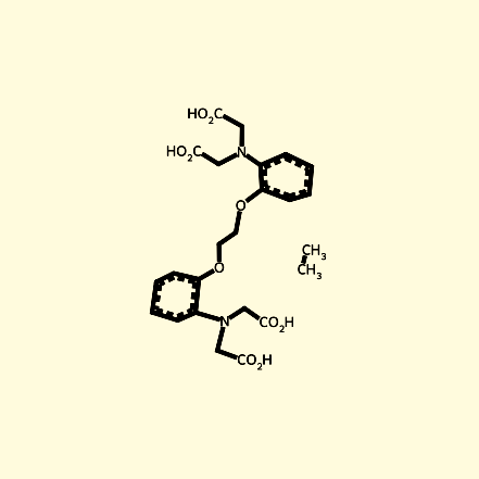 CC.O=C(O)CN(CC(=O)O)c1ccccc1OCCOc1ccccc1N(CC(=O)O)CC(=O)O